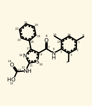 Cc1cc(C)c(NC(=O)c2sc(NC(=O)O)nc2-c2ccccc2)c(C)c1